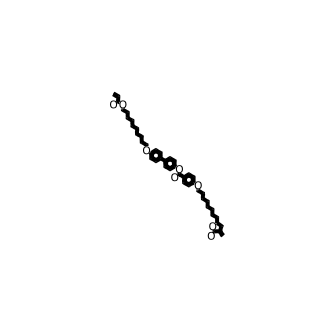 C=CC(=O)OCCCCCCCCCCOc1ccc(-c2ccc(OC(=O)c3ccc(OCCCCCCCCC4CC(=C)C(=O)O4)cc3)cc2)cc1